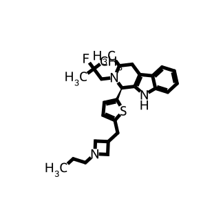 CCCN1CC(Cc2ccc([C@@H]3c4[nH]c5ccccc5c4CC(C)N3CC(C)(C)F)s2)C1